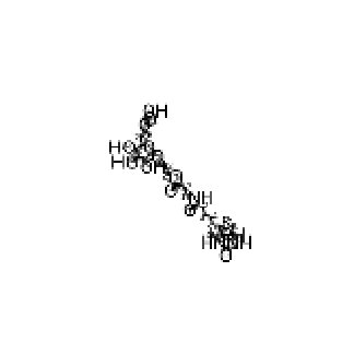 O=C(CCCC[C@@H]1SC[C@@H]2NC(=O)N[C@@H]21)NCCC(=O)OCCCOC1OC(CSOOO)C(O)C(O)C1O